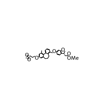 COC(=O)C[C@@H]1COc2cc(OCc3cccc4c3CCCc3cc(OCCCS(C)(=O)=O)cc(C)c3-4)ccc21